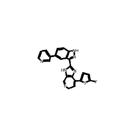 Fc1ccc(C2=CCN=Cc3[nH]c(-c4n[nH]c5ccc(-c6cccnc6)cc45)nc32)s1